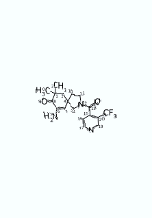 CC1(C)CC2(C=C(N)C1=O)CCN(C(=O)c1ccncc1C(F)(F)F)C2